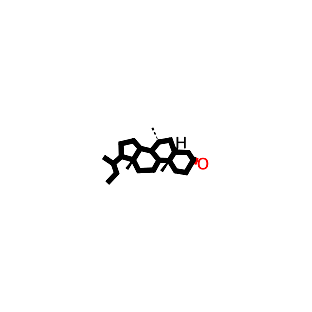 CCC(C)C1CCC2C3C(CC[C@]12C)[C@@]1(C)CCC(=O)C[C@@H]1C[C@H]3C